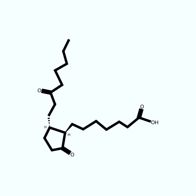 CCCCCC(=O)CC[C@H]1CCC(=O)[C@@H]1CCCCCCC(=O)O